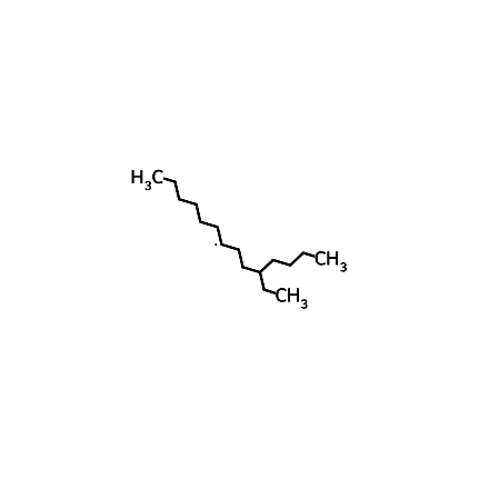 CCCCCC[CH]CCC(CC)CCCC